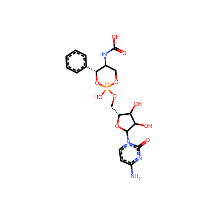 Nc1ccn(C2O[C@H](CO[PH]3(O)OC[C@H](NC(=O)O)[C@@H](c4ccccc4)O3)C(O)C2O)c(=O)n1